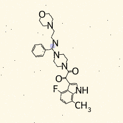 Cc1ccc(F)c2c(C(=O)C(=O)N3CCN(/C(=N/CCN4CCOCC4)c4ccccc4)CC3)c[nH]c12